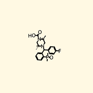 C[C@@H]1CN(C(=O)O)[C@@H](C)CN1C(c1ccc(F)cc1)c1ccccc1P(C)(C)=O